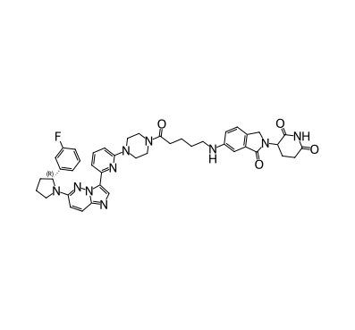 O=C1CCC(N2Cc3ccc(NCCCCC(=O)N4CCN(c5cccc(-c6cnc7ccc(N8CCC[C@@H]8c8cccc(F)c8)nn67)n5)CC4)cc3C2=O)C(=O)N1